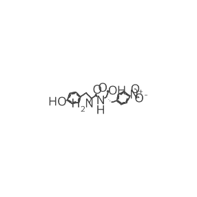 N[C@@H](Cc1ccc(O)cc1)C(=O)N[C@@H](Cc1ccc([N+](=O)[O-])cc1)C(=O)O